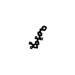 CCN1C(=O)CSc2ccc(C(=O)Nc3ccc(SN4CCCCC4)cc3)cc21